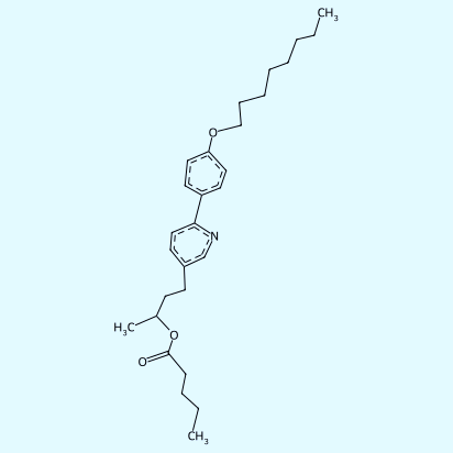 CCCCCCCCOc1ccc(-c2ccc(CCC(C)OC(=O)CCCC)cn2)cc1